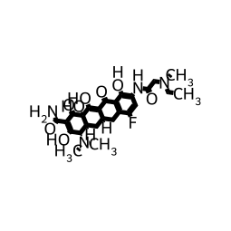 CCN(C)CC(=O)Nc1cc(F)c2c(c1O)C(=O)C1=C(O)[C@]3(O)C(=O)C(C(N)=O)=C(O)[C@@H](N(C)C)[C@@H]3C[C@@H]1C2